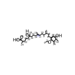 CCO[C@@H]1C(CCC(C)CC/C=C(\C)CCCC(C)(O)CCCC(C)C(=O)O)=CC(O)C(C)C1C